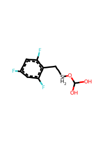 OC(O)O[SiH2]Cc1c(F)cc(F)cc1F